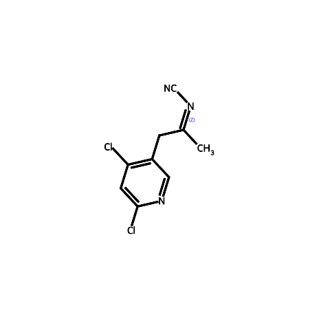 C/C(Cc1cnc(Cl)cc1Cl)=N/C#N